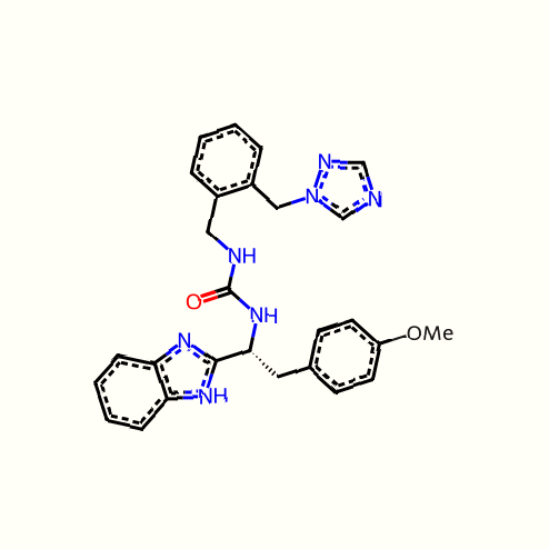 COc1ccc(C[C@@H](NC(=O)NCc2ccccc2Cn2cncn2)c2nc3ccccc3[nH]2)cc1